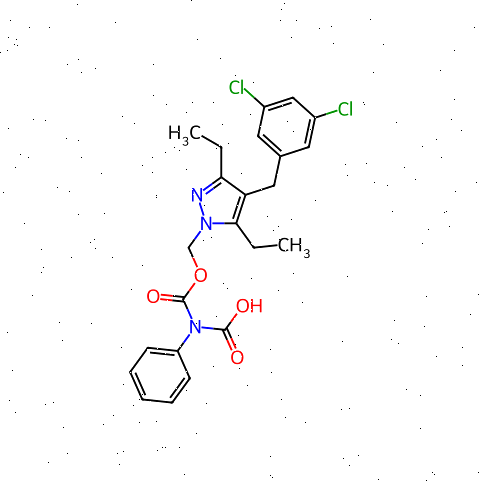 CCc1nn(COC(=O)N(C(=O)O)c2ccccc2)c(CC)c1Cc1cc(Cl)cc(Cl)c1